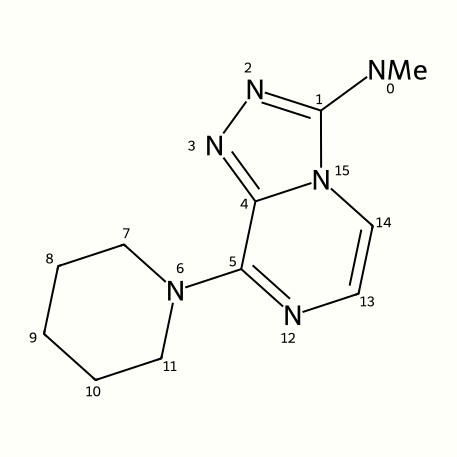 CNc1nnc2c(N3CCCCC3)nccn12